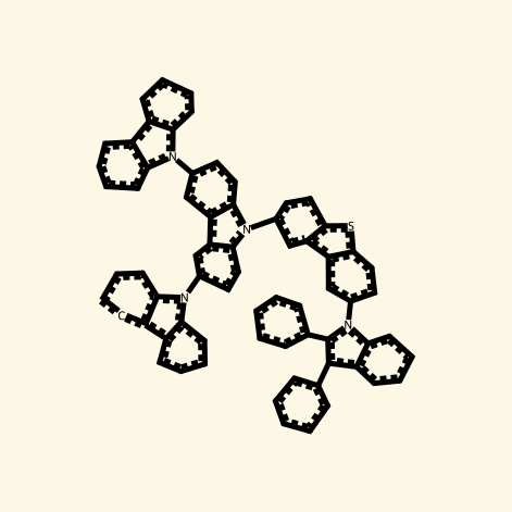 c1ccc(-c2c(-c3ccccc3)n(-c3ccc4sc5ccc(-n6c7ccc(-n8c9ccccc9c9ccccc98)cc7c7cc(-n8c9ccccc9c9ccccc98)ccc76)cc5c4c3)c3ccccc23)cc1